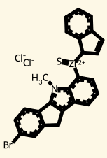 Cn1c2c(c3ccc[c]([Zr+2](=[S])[CH]4C=Cc5ccccc54)c31)Cc1cc(Br)ccc1-2.[Cl-].[Cl-]